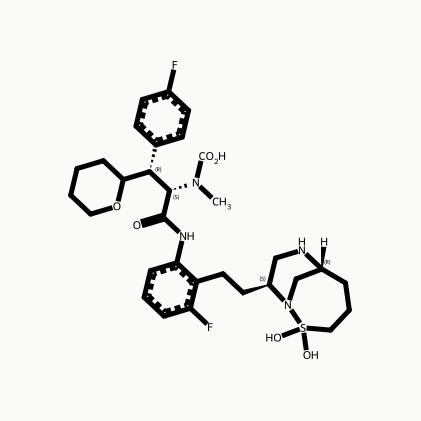 CN(C(=O)O)[C@H](C(=O)Nc1cccc(F)c1CC[C@H]1CN[C@@H]2CCCS(O)(O)N1C2)[C@@H](c1ccc(F)cc1)C1CCCCO1